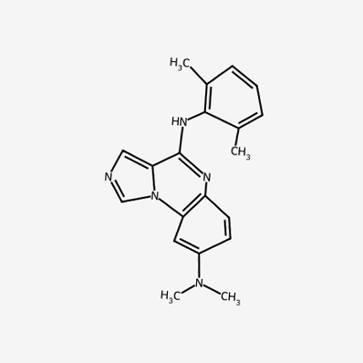 Cc1cccc(C)c1Nc1nc2ccc(N(C)C)cc2n2cncc12